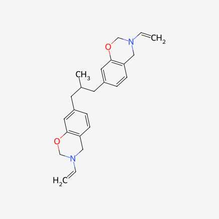 C=CN1COc2cc(CC(C)Cc3ccc4c(c3)OCN(C=C)C4)ccc2C1